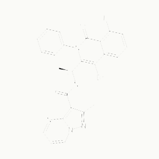 Cc1nn2cccnc2c1C(=O)N[C@@H](C)c1c(Br)c2cccc(F)c2c(=O)n1-c1ccccc1